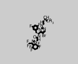 CN(C)CCNc1ncc(Br)c([C@H](Cc2cc(F)cc(F)c2)NC(=O)Cn2nc(C(F)F)c3c2C(F)(F)CCC3(F)F)n1